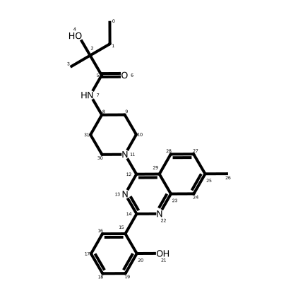 CCC(C)(O)C(=O)NC1CCN(c2nc(-c3ccccc3O)nc3cc(C)ccc23)CC1